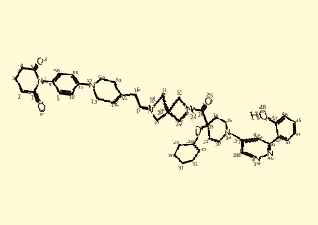 O=C1CCCC(=O)N1c1ccc(N2CCC(CCN3CC4(C3)CN(C(=O)C3(OC5CCCCC5)CCN(c5cnnc(-c6ccccc6O)c5)CC3)C4)CC2)cc1